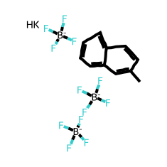 Cc1ccc2ccccc2c1.F[B-](F)(F)F.F[B-](F)(F)F.F[B-](F)(F)F.[KH]